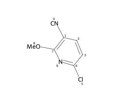 [C-]#[N+]c1ccc(Cl)nc1OC